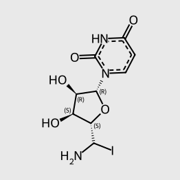 NC(I)[C@H]1O[C@@H](n2ccc(=O)[nH]c2=O)[C@H](O)[C@@H]1O